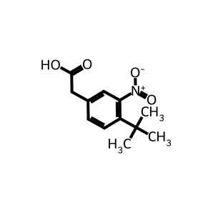 CC(C)(C)c1ccc(CC(=O)O)cc1[N+](=O)[O-]